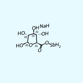 O=C([O][SbH2])[C@H]1O[C@@H](O)[C@H](O)[C@@H](O)[C@@H]1O.[NaH]